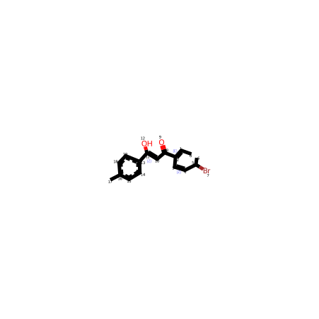 C/C=C(\C=C/C(C)Br)C(=O)/C=C(\O)c1ccc(C)cc1